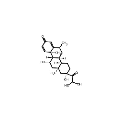 C[C@H]1C[C@@H]2[C@H]([C@@H](O)C[C@]3(C)C[C@](O)(C(=O)C(O)O)CC[C@@H]23)[C@@]2(C)C=CC(=O)C=C12